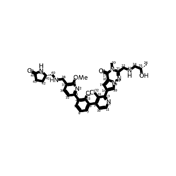 COc1nc(-c2cccc(-c3ccnc(-c4cc5c(=O)n(C)c(CNC[C@H](C)O)nn5c4)c3Cl)c2Cl)ccc1CNC[C@@H]1CCC(=O)N1